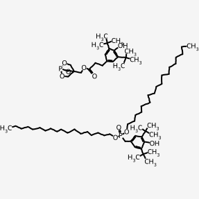 CC(C)(C)c1cc(CCC(=O)OCC23COP(OC2)OC3)cc(C(C)(C)C)c1O.CCCCCCCCCCCCCCCCCCOP(=O)(Cc1cc(C(C)(C)C)c(O)c(C(C)(C)C)c1)OCCCCCCCCCCCCCCCCCC